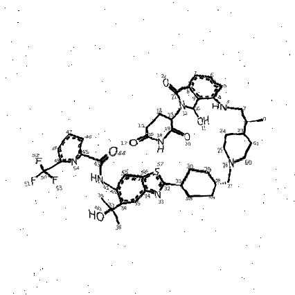 C[C@H](CNc1cccc2c1C(O)N(C1CCC(=O)NC1=O)C2=O)C1CCN(C[C@H]2CC[C@H](c3nc4cc(C(C)(C)O)c(NC(=O)c5cccc(C(F)(F)F)n5)cc4s3)CC2)CC1